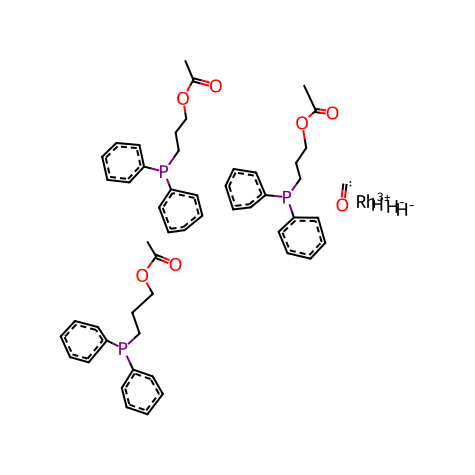 CC(=O)OCCCP(c1ccccc1)c1ccccc1.CC(=O)OCCCP(c1ccccc1)c1ccccc1.CC(=O)OCCCP(c1ccccc1)c1ccccc1.[C]=O.[H-].[H-].[H-].[Rh+3]